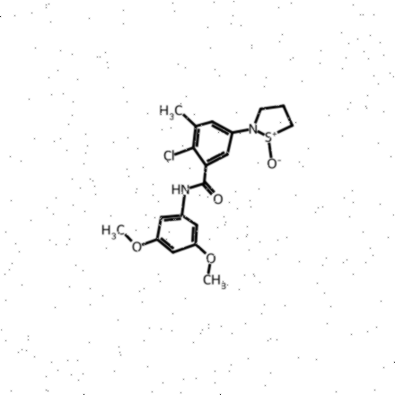 COc1cc(NC(=O)c2cc(N3CCC[S+]3[O-])cc(C)c2Cl)cc(OC)c1